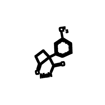 CNC(=O)C1(c2cccc(C(F)(F)F)c2)CCC1=O